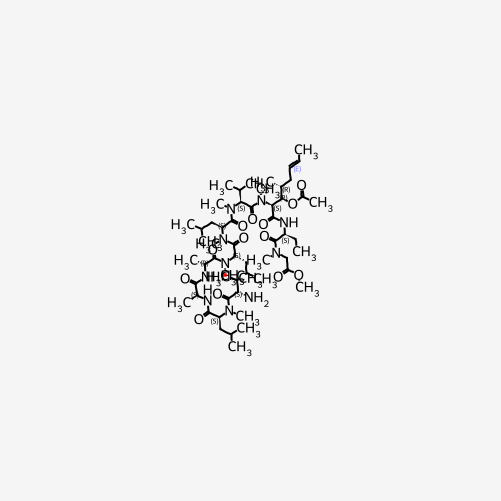 C/C=C/C[C@@H](C)[C@@H](OC(C)=O)[C@@H](C(=O)N[C@@H](CC)C(=O)N(C)CC(=O)OC)N(C)C(=O)[C@H](C(C)C)N(C)C(=O)[C@H](CC(C)C)N(C)C(=O)[C@H](CC(C)C)N(C)C(=O)[C@@H](C)NC(=O)[C@H](C)NC(=O)[C@H](CC(C)C)N(C)C(=O)[C@@H](N)C(C)C